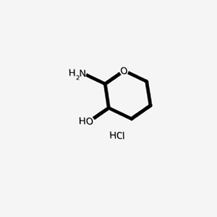 Cl.NC1OCCCC1O